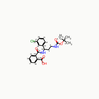 CC(C)(C)OC(=O)NCCC(NC(=O)c1ccccc1C(=O)O)c1cccc(Cl)c1